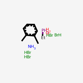 Br.Br.Br.Br.CCP.Cc1ccccc1C.N.O